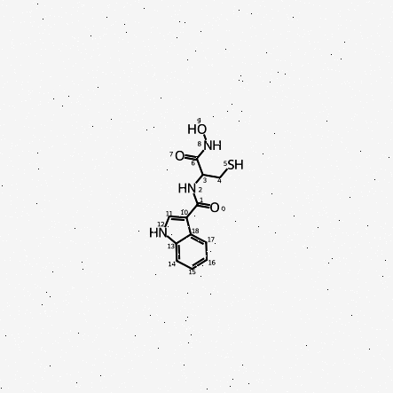 O=C(NC(CS)C(=O)NO)c1c[nH]c2ccccc12